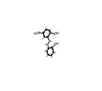 Oc1ccc(O)c(N=Nc2ccccc2O)c1